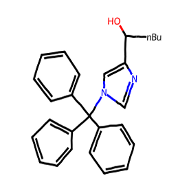 CCCCC(O)c1cn(C(c2ccccc2)(c2ccccc2)c2ccccc2)cn1